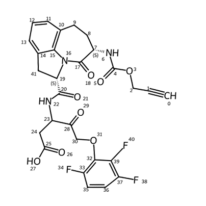 C#CCOC(=O)N[C@H]1CCc2cccc3c2N(C1=O)[C@H](C(=O)NC(CC(=O)O)C(=O)COc1c(F)ccc(F)c1F)C3